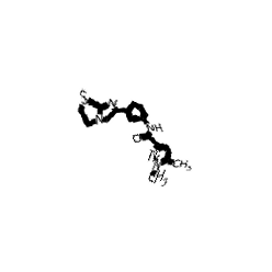 Cc1cc(C(=O)Nc2cccc(C3CN4CCSC4=N3)c2)nn1C